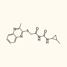 Cc1nc2ccccc2nc1SCC(=O)NC(=O)NC1CC1C